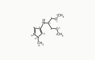 COCC(COC)Nc1cnn(C)c1